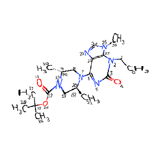 CCn1c(=O)nc(N2C[C@@H](C)N(C(=O)OC(C)(C)C)C[C@@H]2C)c2ncn(C)c21